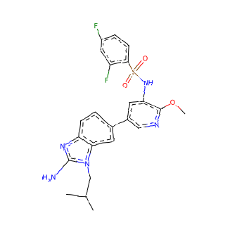 COc1ncc(-c2ccc3nc(N)n(CC(C)C)c3c2)cc1NS(=O)(=O)c1ccc(F)cc1F